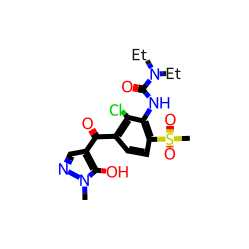 CCN(CC)C(=O)Nc1c(S(C)(=O)=O)ccc(C(=O)c2cnn(C)c2O)c1Cl